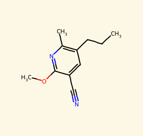 CCCc1cc(C#N)c(OC)nc1C